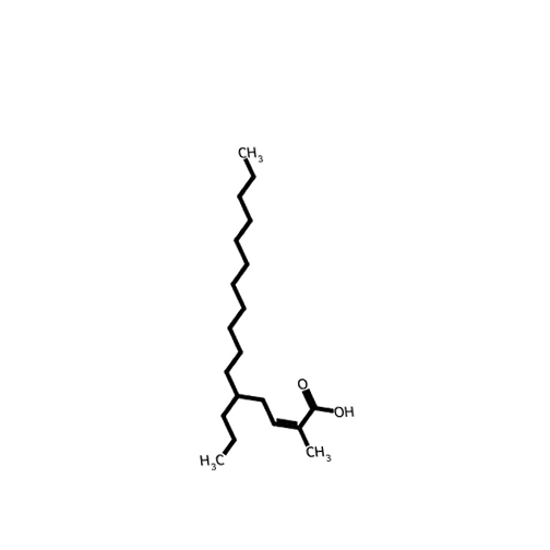 CCCCCCCCCCCC(CC=C(C)C(=O)O)CCC